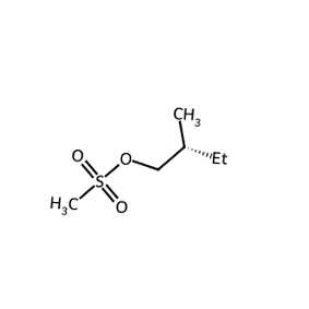 CC[C@@H](C)COS(C)(=O)=O